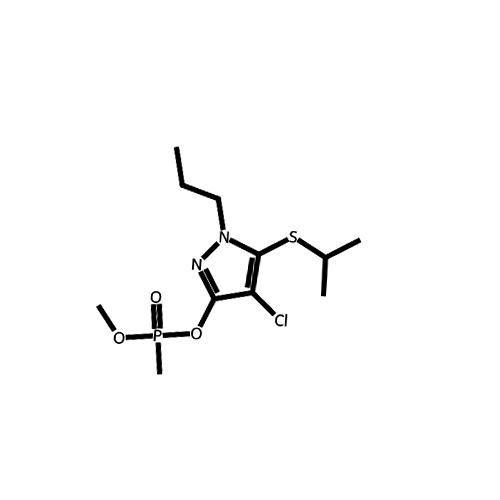 CCCn1nc(OP(C)(=O)OC)c(Cl)c1SC(C)C